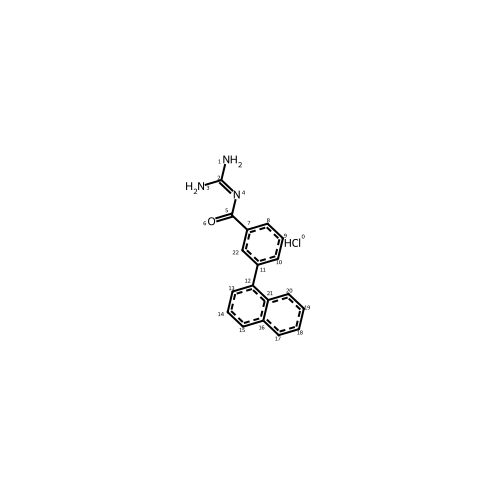 Cl.NC(N)=NC(=O)c1cccc(-c2cccc3ccccc23)c1